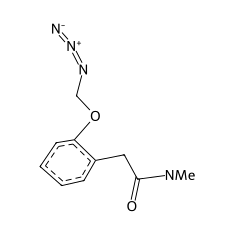 CNC(=O)Cc1ccccc1OCN=[N+]=[N-]